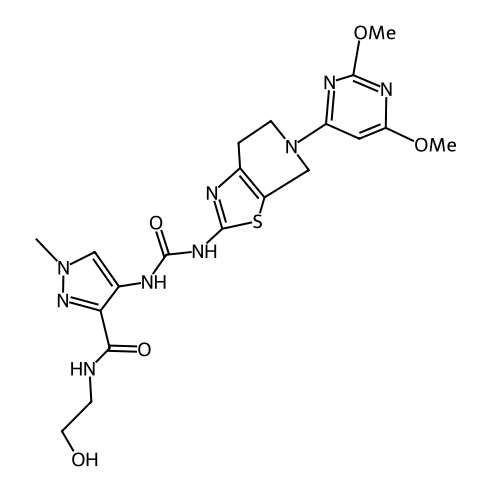 COc1cc(N2CCc3nc(NC(=O)Nc4cn(C)nc4C(=O)NCCO)sc3C2)nc(OC)n1